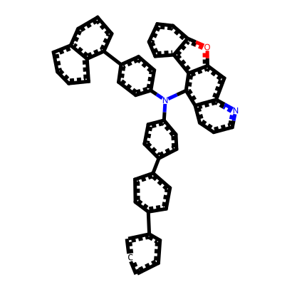 c1ccc(-c2ccc(-c3ccc(N(c4ccc(-c5cccc6ccccc56)cc4)c4c5cccnc5cc5oc6ccccc6c45)cc3)cc2)cc1